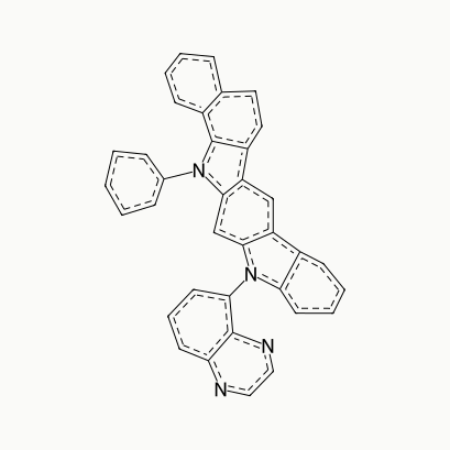 c1ccc(-n2c3cc4c(cc3c3ccc5ccccc5c32)c2ccccc2n4-c2cccc3nccnc23)cc1